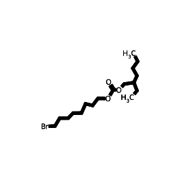 CCCCC(CC)COC(=O)OCCCCCCCCBr